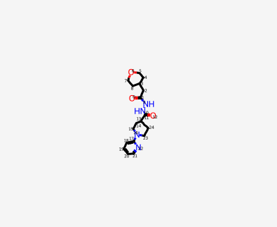 O=C(CC1CCOCC1)NNC(=O)C1CCN(c2ccccn2)CC1